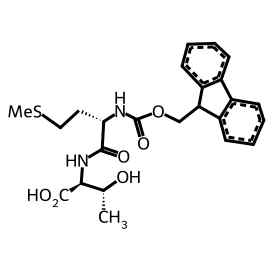 CSCC[C@H](NC(=O)OCC1c2ccccc2-c2ccccc21)C(=O)N[C@H](C(=O)O)[C@@H](C)O